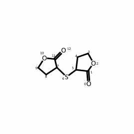 O=C1OCCC1SC1CCOC1=O